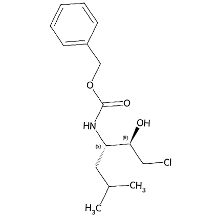 CC(C)C[C@H](NC(=O)OCc1ccccc1)[C@@H](O)CCl